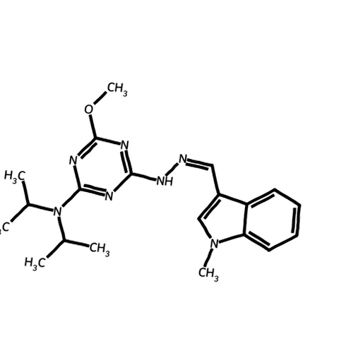 COc1nc(N/N=C\c2cn(C)c3ccccc23)nc(N(C(C)C)C(C)C)n1